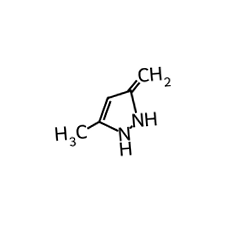 C=C1C=C(C)NN1